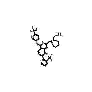 CCC1CCCCN1Cc1nc(Nc2ccc(C(F)(F)F)nc2)c2ccc(-c3ncccc3C(F)(F)F)cc2n1